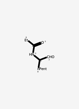 CCCCCC(C=O)NC(=O)CC